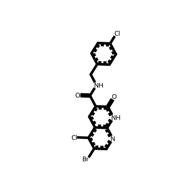 O=C(NCc1ccc(Cl)cc1)c1cc2c(Cl)c(Br)cnc2[nH]c1=O